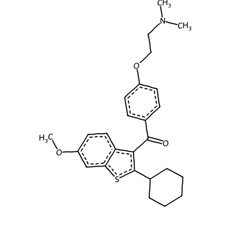 COc1ccc2c(C(=O)c3ccc(OCCN(C)C)cc3)c(C3CCCCC3)sc2c1